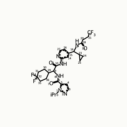 CC(C)n1nccc1C(=O)NC(C(=O)Nc1cc(C(NC(=O)CCC(F)(F)F)C2CC2)ccn1)C1CCC(F)(F)CC1